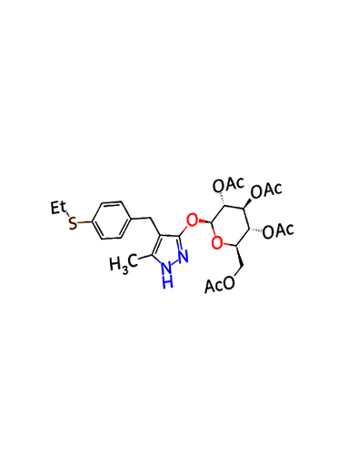 CCSc1ccc(Cc2c(O[C@@H]3O[C@H](COC(C)=O)[C@@H](OC(C)=O)[C@H](OC(C)=O)[C@H]3OC(C)=O)n[nH]c2C)cc1